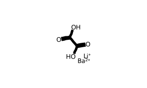 O=C(O)C(=O)O.[Ba+2].[Li+]